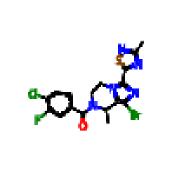 Cc1nsc(-c2nc(Br)c3n2CCN(C(=O)c2ccc(Cl)c(F)c2)C3C)n1